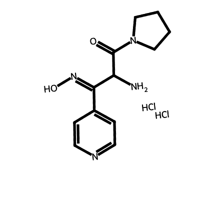 Cl.Cl.NC(C(=O)N1CCCC1)/C(=N/O)c1ccncc1